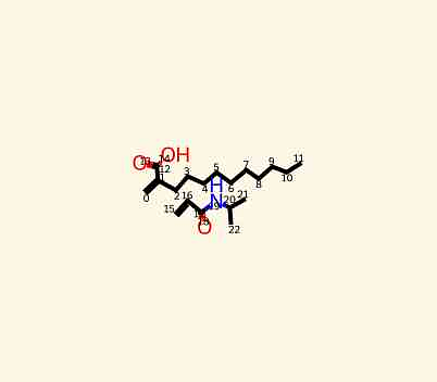 C=C(CCCCCCCCCC)C(=O)O.C=CC(=O)NC(C)C